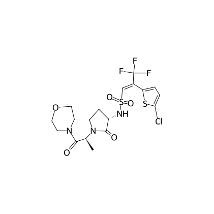 C[C@@H](C(=O)N1CCOCC1)N1CC[C@H](NS(=O)(=O)/C=C(\c2ccc(Cl)s2)C(F)(F)F)C1=O